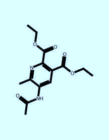 CCOC(=O)c1cc(NC(C)=O)c(C)nc1C(=O)OCC